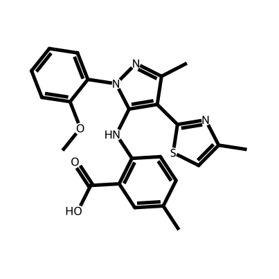 COc1ccccc1-n1nc(C)c(-c2nc(C)cs2)c1Nc1ccc(C)cc1C(=O)O